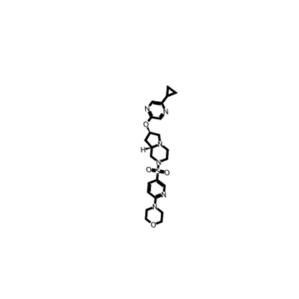 O=S(=O)(c1ccc(N2CCOCC2)nc1)N1CCN2C[C@H](Oc3cnc(C4CC4)cn3)C[C@H]2C1